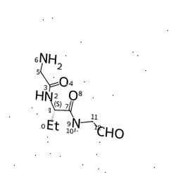 CC[C@H](NC(=O)CN)C(=O)N(C)CC=O